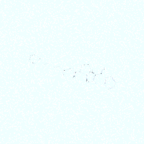 C[C@@]1(CCCCC(=O)OC(=O)C2CCn3c(C(=O)c4ccccc4)ccc32)CCSS1